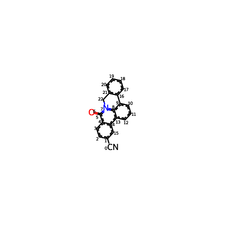 N#Cc1ccc2c(=O)n3c4c(cccc4c2c1)-c1ccccc1C3